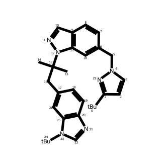 CC(C)(C)c1ccn(Cc2ccc3cnn(C(C)(C)Cc4ccc5ncn(C(C)(C)C)c5c4)c3c2)n1